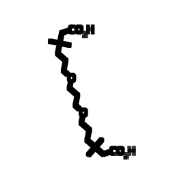 CC(C)(CCCOCCCOCCCC(C)(C)CC(=O)O)CC(=O)O